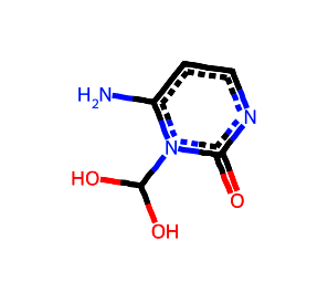 Nc1ccnc(=O)n1C(O)O